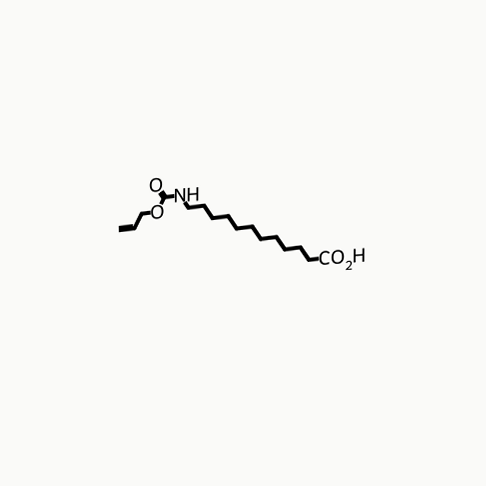 C=CCOC(=O)NCCCCCCCCCCCC(=O)O